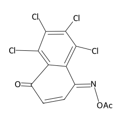 CC(=O)ON=C1C=CC(=O)c2c(Cl)c(Cl)c(Cl)c(Cl)c21